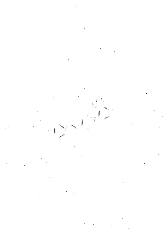 Cc1nc2c(N3CC=C(C=Cc4ccccc4)CC3)cccc2[nH]1